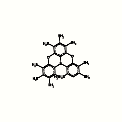 Bc1cc(B)c2c(c1B)Oc1c(B)c(B)c(B)c3c1B2c1c(B)c(B)c(B)c(B)c1O3